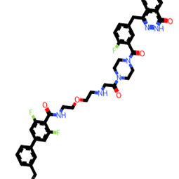 O=C(NCCOCCNCC(=O)N1CCN(C(=O)c2cc(Cc3n[nH]c(=O)c4ccccc34)ccc2F)CC1)c1c(F)cc(-c2cccc(CC(F)(F)F)c2)cc1F